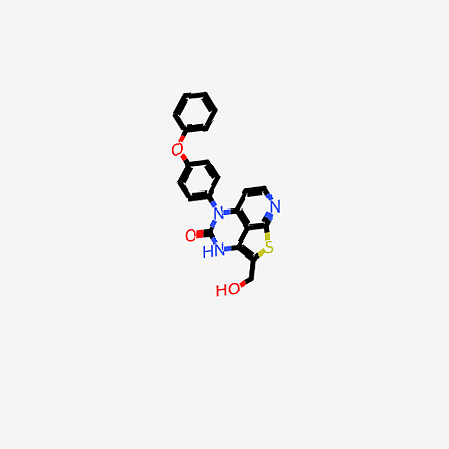 O=C1Nc2c(CO)sc3nccc(c23)N1c1ccc(Oc2ccccc2)cc1